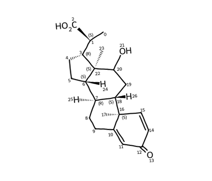 C[C@H](C(=O)O)[C@H]1CC[C@H]2[C@@H]3CCC4=CC(=O)C=C[C@]4(C)[C@H]3CC(O)[C@]12C